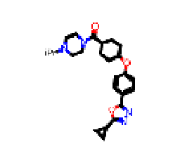 CC(C)N1CCN(C(=O)C2CCC(Oc3ccc(-c4nnc(C5CC5)o4)cc3)CC2)CC1